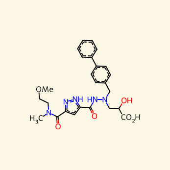 COCCN(C)C(=O)c1cc(C(=O)NN(Cc2ccc(-c3ccccc3)cc2)CC(O)C(=O)O)[nH]n1